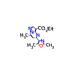 CCOC(=O)c1cnn2c(C)cc(-c3nc(C)oc3C)nc12